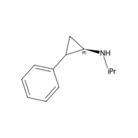 CC(C)N[C@@H]1CC1c1ccccc1